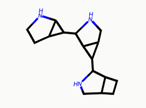 C1CC2C(N1)C2C1NCC2C(C3NCC4CCC43)C21